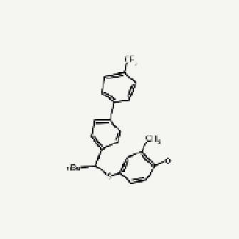 CCCC[C@H](Sc1ccc([O])c(C)c1)c1ccc(-c2ccc(C(F)(F)F)cc2)cc1